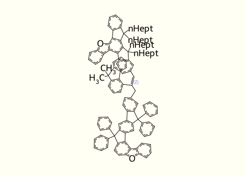 CCCCCCCC1(CCCCCCC)c2ccccc2-c2c1c1c(c3c2oc2ccccc23)-c2ccc(/C=C(/Cc3ccc4c(c3)C(c3ccccc3)(c3ccccc3)c3cc5c(cc3-4)C(c3ccccc3)(c3ccccc3)c3ccc4oc6ccccc6c4c3-5)c3cccc4c3-c3ccccc3C4(C)C)cc2C1(CCCCCCC)CCCCCCC